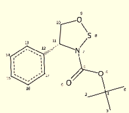 CC(C)(C)OC(=O)N1SOC[C@H]1c1ccccc1